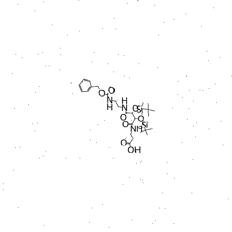 CC(C)(C)[Si](C)(C)OC(C(=O)NCCNC(=O)OCc1ccccc1)C(O[Si](C)(C)C(C)(C)C)C(=O)NCCC(=O)O